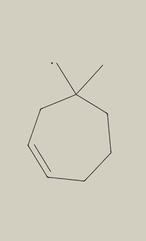 [CH2]C1(C)CC=CCCC1